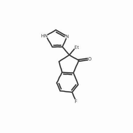 CCC1(c2c[nH]cn2)Cc2ccc(F)cc2C1=O